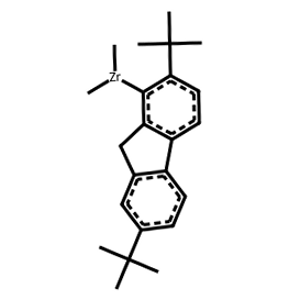 [CH3][Zr]([CH3])[c]1c(C(C)(C)C)ccc2c1Cc1cc(C(C)(C)C)ccc1-2